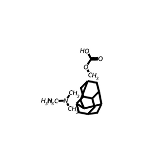 C1C2CC3C4CC5CC(C14)C(C2)C3C5.CN(C)C.COC(=O)O.N